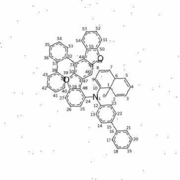 CC12C=CC=CC1C=CC=C2N(c1ccc(-c2ccccc2)cc1)c1cccc2oc3c(-c4ccccc4-c4ccccc4)c4c(cc3c12)oc1ccccc14